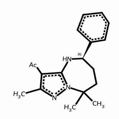 CC(=O)c1c(C)nn2c1N[C@@H](c1ccccc1)CCC2(C)C